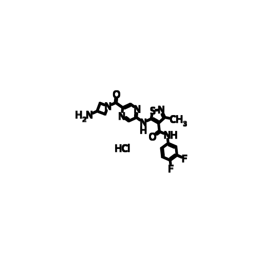 Cc1nsc(Nc2cnc(C(=O)N3CC(N)C3)cn2)c1C(=O)Nc1ccc(F)c(F)c1.Cl